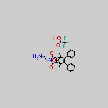 CC12C(=O)C(C)(C(c3ccccc3)=C1c1ccccc1)C1C(=O)N(CCN)C(=O)C12.O=C(O)C(F)(F)F